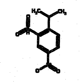 CC(C)c1ccc([N+](=O)[O-])cc1[SH](=O)=O